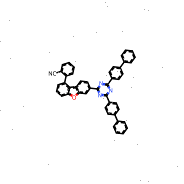 N#Cc1ccccc1-c1cccc2oc3cc(-c4nc(-c5ccc(-c6ccccc6)cc5)nc(-c5ccc(-c6ccccc6)cc5)n4)ccc3c12